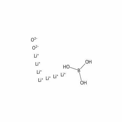 OB(O)O.[Li+].[Li+].[Li+].[Li+].[Li+].[Li+].[Li+].[O-2].[O-2]